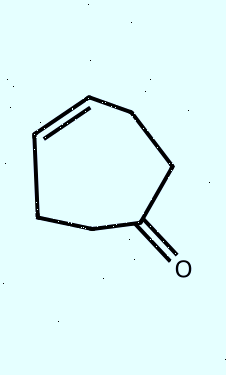 O=C1CCC=CCC1